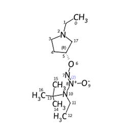 CCN1CC[C@@H](O/N=[N+](\[O-])N(CC)C(C)(C)C)C1